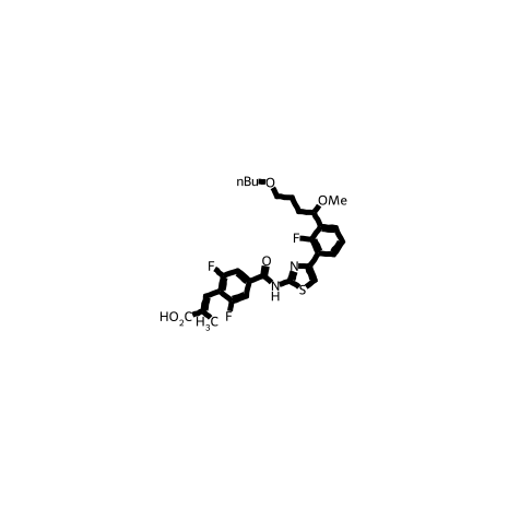 CCCCOCCCC(OC)c1cccc(-c2csc(NC(=O)c3cc(F)c(C=C(C)C(=O)O)c(F)c3)n2)c1F